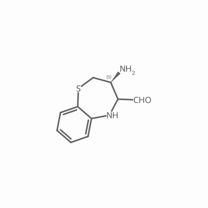 N[C@@H]1CSc2ccccc2NC1C=O